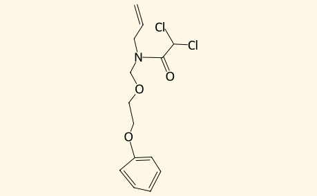 C=CCN(COCCOc1ccccc1)C(=O)C(Cl)Cl